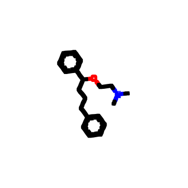 CN(C)CCOC(CCCc1ccccc1)c1ccccc1